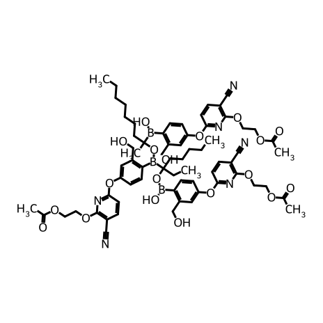 CCCCCCCC(C)(OB(c1ccc(Oc2ccc(C#N)c(OCCOC(C)=O)n2)cc1CO)C(CC)(CCCCC)OB(O)c1ccc(Oc2ccc(C#N)c(OCCOC(C)=O)n2)cc1CO)B(O)c1ccc(Oc2ccc(C#N)c(OCCOC(C)=O)n2)cc1CO